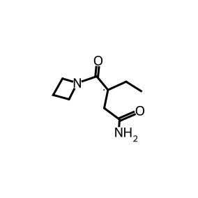 CC[C](CC(N)=O)C(=O)N1CCC1